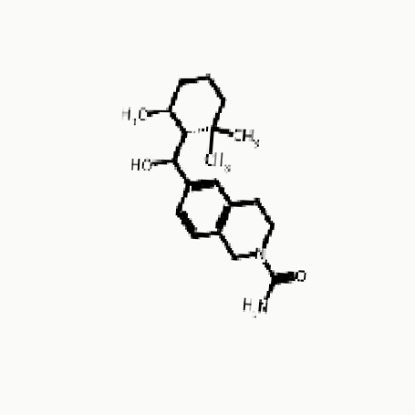 C[C@H]1CCCC(C)(C)[C@@H]1[C@H](O)c1ccc2c(c1)CCN(C(N)=O)C2